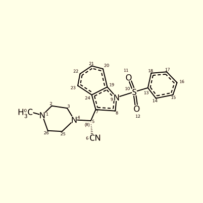 CN1CCN([C@@H](C#N)c2cn(S(=O)(=O)c3ccccc3)c3ccccc23)CC1